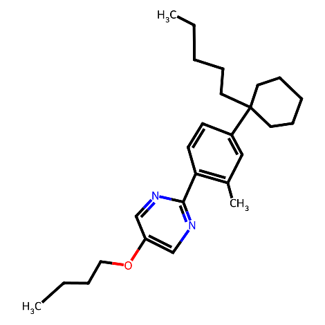 CCCCCC1(c2ccc(-c3ncc(OCCCC)cn3)c(C)c2)CCCCC1